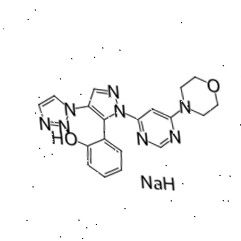 Oc1ccccc1-c1c(-n2ccnn2)cnn1-c1cc(N2CCOCC2)ncn1.[NaH]